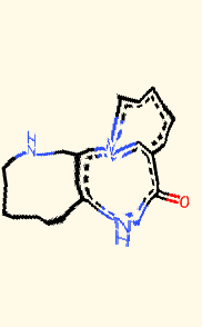 O=c1[nH]c2c(n3cccc13)NCCC2